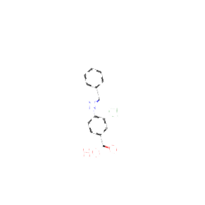 O=C(O)c1ccc(N=Cc2ccccc2)c(Cl)c1